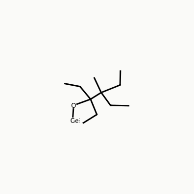 CCC(C)(CC)C(CC)(CC)[O][Ge]